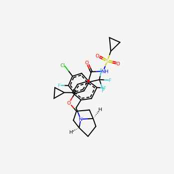 O=C(NS(=O)(=O)C1CC1)c1cc(C2CC2)c(CN2[C@@H]3CC[C@H]2CC(Oc2cc(C(F)(F)F)cc(Cl)c2F)C3)cc1F